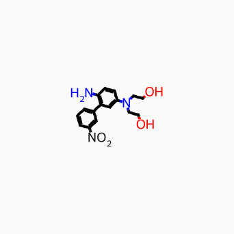 Nc1ccc(N(CCO)CCO)cc1-c1cccc([N+](=O)[O-])c1